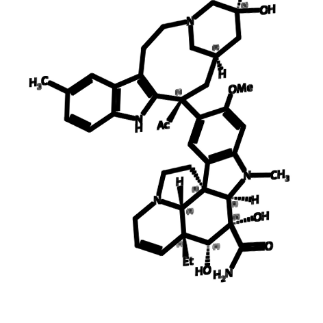 CC[C@]1(O)C[C@@H]2CN(CCc3c([nH]c4ccc(C)cc34)[C@@](C(C)=O)(c3cc4c(cc3OC)N(C)[C@H]3[C@@](O)(C(N)=O)[C@H](O)[C@]5(CC)C=CCN6CC[C@]43[C@@H]65)C2)C1